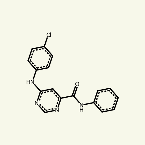 O=C(Nc1ccccc1)c1cc(Nc2ccc(Cl)cc2)ncn1